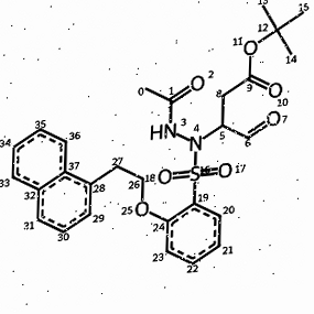 CC(=O)NN(C(C=O)CC(=O)OC(C)(C)C)S(=O)(=O)c1ccccc1OCCc1cccc2ccccc12